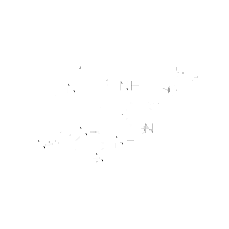 CCCN1CCC(Nc2cc(Nc3cnc(C#N)cn3)ncc2COOC)CC1